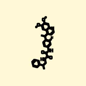 COc1cc2nccc(C(C)c3ccc(NC(=O)C(=O)NCC(C)c4cc#ccc4)cc3F)c2cc1OC